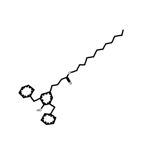 CCCCCCCCCCCCOC(=O)CCCc1cc(Cc2ccccc2)c(O)c(Cc2ccccc2)c1